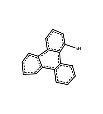 Sc1cccc2c3ccccc3c3ccccc3c12